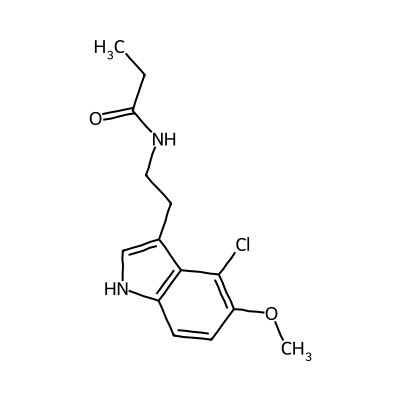 CCC(=O)NCCc1c[nH]c2ccc(OC)c(Cl)c12